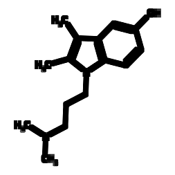 Cc1c(C)n(CCCN(C)C)c2ccc(O)cc12